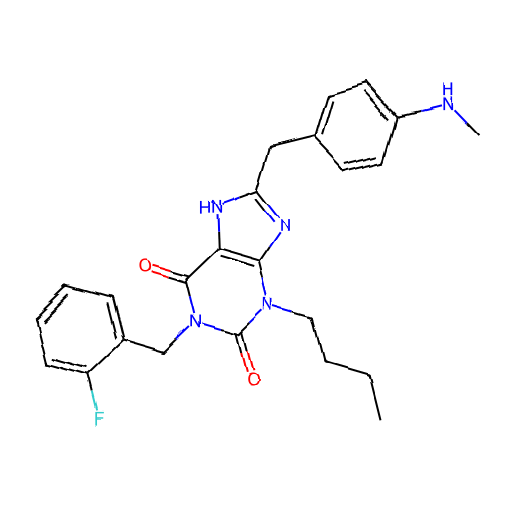 CCCCn1c(=O)n(Cc2ccccc2F)c(=O)c2[nH]c(Cc3ccc(NC)cc3)nc21